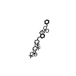 CC(C)(C)OC(=O)N1CCC(N2CCC(Cc3cccc4c3CCN4C(=O)OCc3ccccc3)CC2)C(F)(F)C1